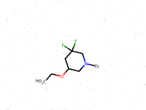 CCN1CC(OCC(=O)O)CC(F)(F)C1